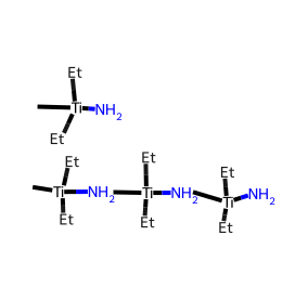 C[CH2][Ti]([CH3])([NH2])[CH2]C.C[CH2][Ti]([CH3])([NH2])[CH2]C.C[CH2][Ti]([CH3])([NH2])[CH2]C.C[CH2][Ti]([CH3])([NH2])[CH2]C